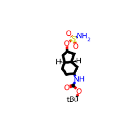 CC(C)(C)OC(=O)NC1CC[C@H]2CC(OS(N)(=O)=O)C[C@@H]2C1